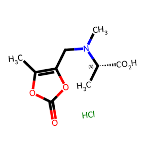 Cc1oc(=O)oc1CN(C)[C@@H](C)C(=O)O.Cl